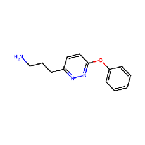 NCCCc1ccc(Oc2ccccc2)nn1